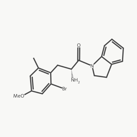 COc1cc(C)c(C[C@@H](N)C(=O)N2CCc3ccccc32)c(Br)c1